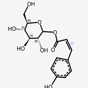 O=C(/C=C\c1ccc(O)cc1)OC1O[C@H](CO)[C@@H](O)[C@H](O)[C@H]1O